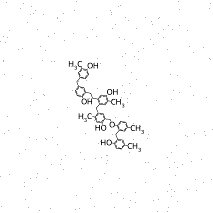 Cc1ccc(O)c(Cc2cc(C)ccc2OCc2cc(Cc3cc(C)c(O)cc3CCc3cc(Cc4ccc(O)c(C)c4)ccc3O)c(C)cc2O)c1